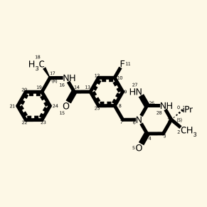 CC(C)[C@]1(C)CC(=O)N(Cc2cc(F)cc(C(=O)N[C@H](C)c3ccccc3)c2)C(=N)N1